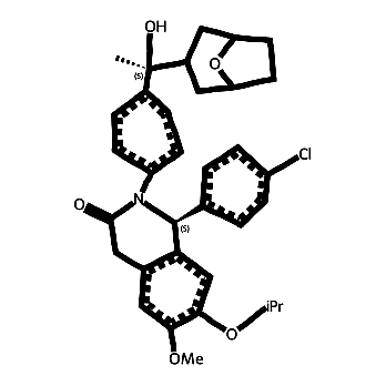 COc1cc2c(cc1OC(C)C)[C@H](c1ccc(Cl)cc1)N(c1ccc([C@@](C)(O)C3CC4CCC(C3)O4)cc1)C(=O)C2